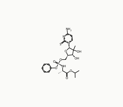 CC(C)OC(=O)[C@H](C)NP(=O)(OC[C@H]1O[C@@H](n2ccc(N)nc2=S)C(C)(O)[C@H]1O)Oc1ccccc1